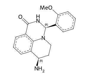 COc1ccccc1[C@@H]1NC(=O)c2cccc3c2N1CC[C@H]3N